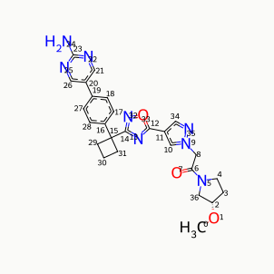 CO[C@H]1CCN(C(=O)Cn2cc(-c3nc(C4(c5ccc(-c6cnc(N)nc6)cc5)CCC4)no3)cn2)C1